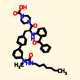 CCCCCCCNC(=O)N(C)c1cccc(-c2ccc(C[C@H](Nc3ccccc3C(=O)c3ccccc3)C(=O)N3CCN(C(=O)O)CC3)cc2)c1